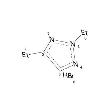 Br.CCc1cnn(CC)n1